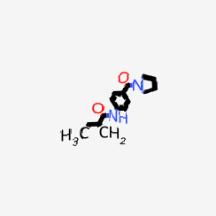 C=C(CC)C(=O)Nc1ccc(C(=O)N2CCCC2)cc1